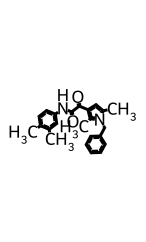 Cc1ccc(NC(=O)C(=O)c2cc(C)n(Cc3ccccc3)c2C)cc1C